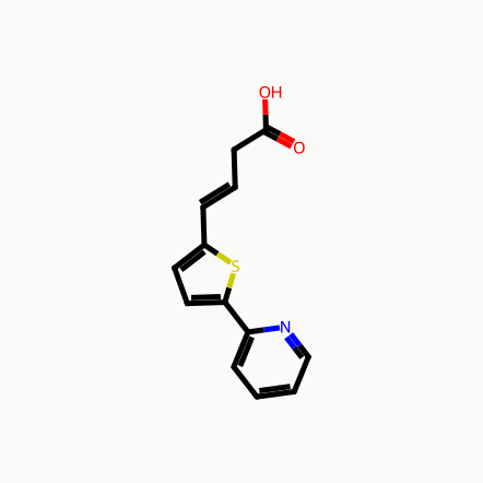 O=C(O)CC=Cc1ccc(-c2ccccn2)s1